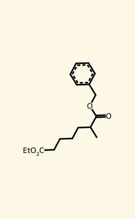 CCOC(=O)CCCCC(C)C(=O)OCc1ccccc1